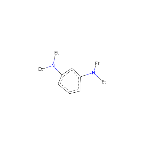 CCN(CC)c1cccc(N(CC)CC)c1